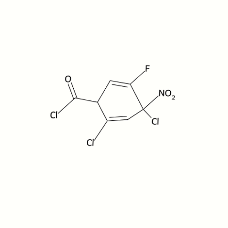 O=C(Cl)C1C=C(F)C(Cl)([N+](=O)[O-])C=C1Cl